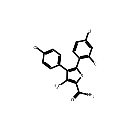 Cc1c(C(N)=O)sc(-c2ccc(Cl)cc2Cl)c1-c1ccc(Cl)cc1